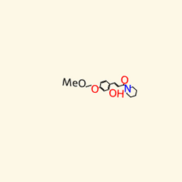 COCCOc1ccc(/C=C/C(=O)N2CCCCC2)c(O)c1